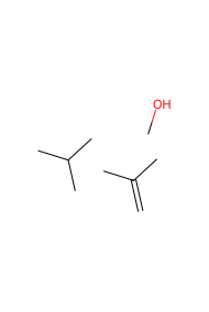 C=C(C)C.CC(C)C.CO